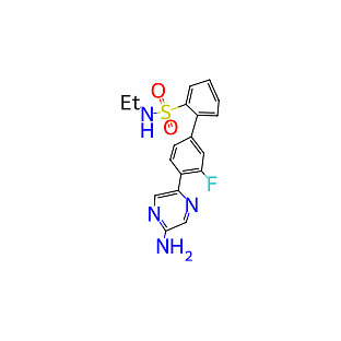 CCNS(=O)(=O)c1ccccc1-c1ccc(-c2cnc(N)cn2)c(F)c1